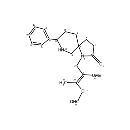 CO/C(CN1C(=O)CCC12CCC(c1ccccc1)NC2)=C(/C)OC=O